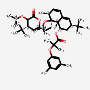 Cc1cc(C)cc(OC(C)(C)C(=O)O[C@H]2C[C@H](C(C)(C)C)C=C3C=C[C@H](C)[C@](CC[C@@H]4C[C@H](C(C)(C)C)C(O[SiH](C)C)C(=O)O4)(O[SiH](C)C)[C@H]32)c1